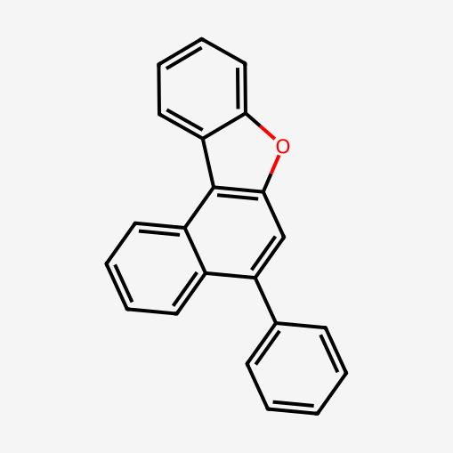 c1ccc(-c2cc3oc4ccccc4c3c3ccccc23)cc1